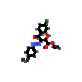 COC(=O)C(=O)/C(=N/Nc1ccc(C)cc1)C(=O)c1ccc(Cl)cc1